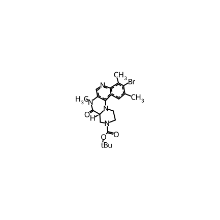 Cc1cc2c3c(cnc2c(C)c1Br)N(C)C(=O)[C@H]1CN(C(=O)OC(C)(C)C)CCN31